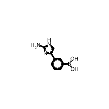 Nc1nc(-c2cccc(B(O)O)c2)c[nH]1